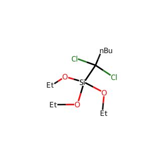 CCCCC(Cl)(Cl)[Si](OCC)(OCC)OCC